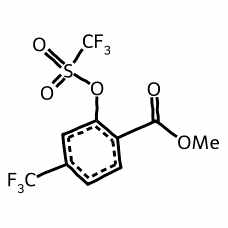 COC(=O)c1ccc(C(F)(F)F)cc1OS(=O)(=O)C(F)(F)F